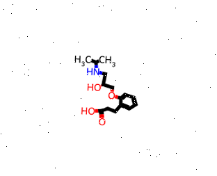 CC(C)NC[C@H](O)COc1ccccc1CCC(=O)O